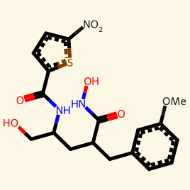 COc1cccc(CC(CC(CO)NC(=O)c2ccc([N+](=O)[O-])s2)C(=O)NO)c1